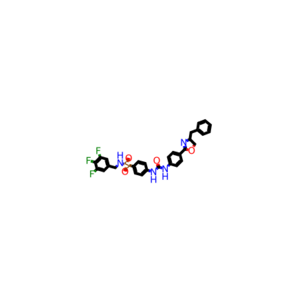 O=C(Nc1ccc(C2=NC(Cc3ccccc3)CO2)cc1)Nc1ccc(S(=O)(=O)NCc2cc(F)c(F)c(F)c2)cc1